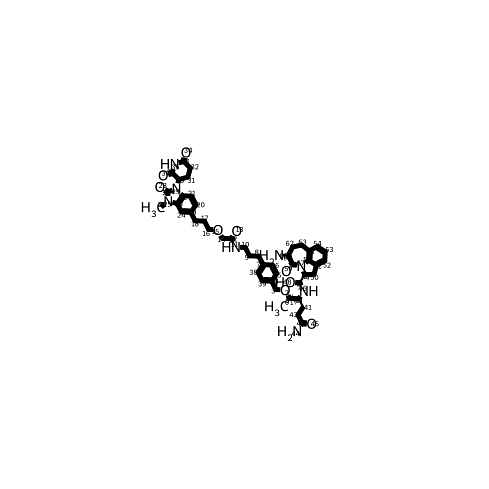 C[C@@H](OCc1ccc(CCCNC(=O)COCCCc2ccc3c(c2)n(C)c(=O)n3C2CCC(=O)NC2=O)cc1)[C@H](CCC(N)=O)NC(O)[C@@H]1Cc2cccc3c2N1C(=O)[C@@H](N)CC3